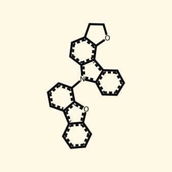 c1ccc2c(c1)oc1c(-n3c4ccccc4c4c5c(ccc43)CCO5)cccc12